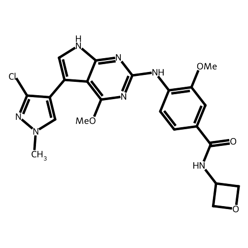 COc1cc(C(=O)NC2COC2)ccc1Nc1nc(OC)c2c(-c3cn(C)nc3Cl)c[nH]c2n1